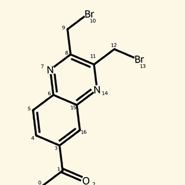 CC(=O)c1ccc2nc(CBr)c(CBr)nc2c1